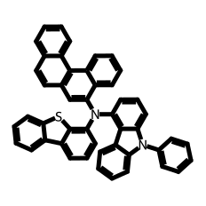 c1ccc(-n2c3ccccc3c3c(N(c4cc5ccc6ccccc6c5c5ccccc45)c4cccc5c4sc4ccccc45)cccc32)cc1